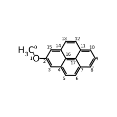 COc1cc2ccc3[c]ccc4ccc(c1)c2c34